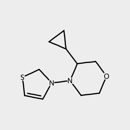 C1=CN(N2CCOCC2C2CC2)CS1